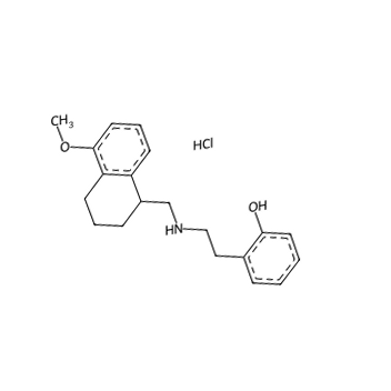 COc1cccc2c1CCCC2CNCCc1ccccc1O.Cl